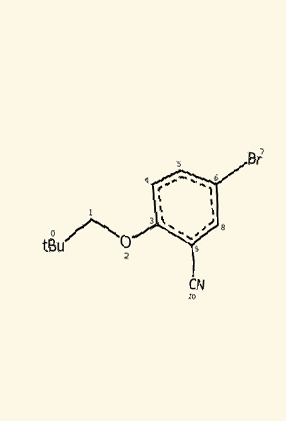 CC(C)(C)COc1ccc(Br)cc1C#N